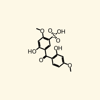 COc1ccc(C(=O)c2cc(S(=O)(=O)O)c(OC)cc2O)c(O)c1